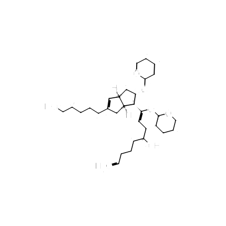 C=CCCCC(C)CC=C(OC1CCCCO1)[C@H]1[C@@H]2CC(CCCCCO)=C[C@@H]2C[C@@H]1OC1CCCCO1